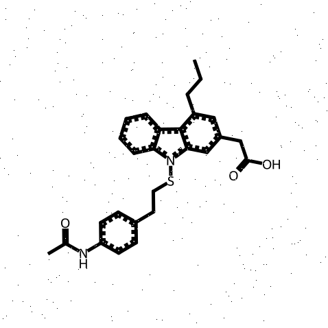 CCCc1cc(CC(=O)O)cc2c1c1ccccc1n2SCCc1ccc(NC(C)=O)cc1